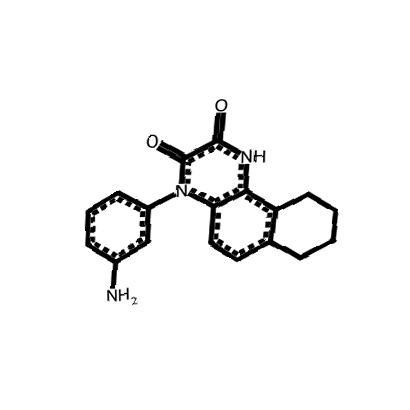 Nc1cccc(-n2c(=O)c(=O)[nH]c3c4c(ccc32)CCCC4)c1